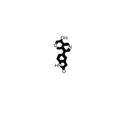 O=C1Cc2cc(-c3cncc4c3COCC4O)ccc2N1